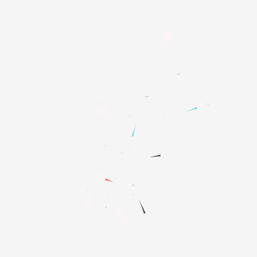 CCC(=O)O[C@]1(C(=O)S)[C@H](C)C[C@H]2[C@@H]3C[C@H](F)C4=CC(=O)C=CC4(C)[C@@]3(F)C(O)CC21C